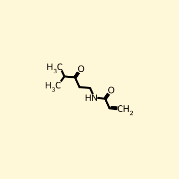 C=CC(=O)NCCC(=O)C(C)C